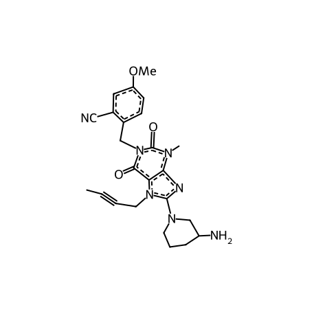 CC#CCn1c(N2CCCC(N)C2)nc2c1c(=O)n(Cc1ccc(OC)cc1C#N)c(=O)n2C